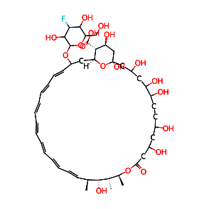 C[C@@H]1[C@H](O)[C@@H](C)/C=C/C=C/C=C/C=C/C=C/C=C/C=C/C(OC2OC(CO)C(O)C(F)C2O)C[C@@H]2OC(O)(CC(O)CC(O)C(O)CCC(O)CC(O)CC(=O)O[C@H]1C)C[C@H](O)[C@H]2C(=O)O